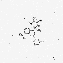 CN1C(=N)N[C@](C)(c2cccc(-c3cncc(F)c3)c2)C(c2ccc(C3(C#N)CC3)cc2)C1=O